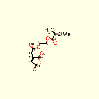 C=C(OC)C(=O)OCCOC(=O)CC1=CC(=O)OC1=O